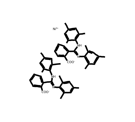 Cc1cc(C)c(N=C(Nc2c(C)cc(C)cc2C)c2ccccc2C(=O)[O-])c(C)c1.Cc1cc(C)c(N=C(Nc2c(C)cc(C)cc2C)c2ccccc2C(=O)[O-])c(C)c1.[Ni+2]